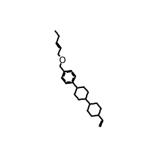 C=CC1CCC(C2CCC(c3ccc(COCC=CCC)cc3)CC2)CC1